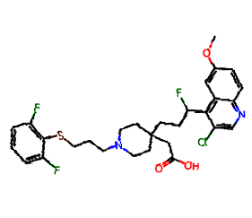 COc1ccc2ncc(Cl)c(C(F)CCC3(CC(=O)O)CCN(CCCSc4c(F)cccc4F)CC3)c2c1